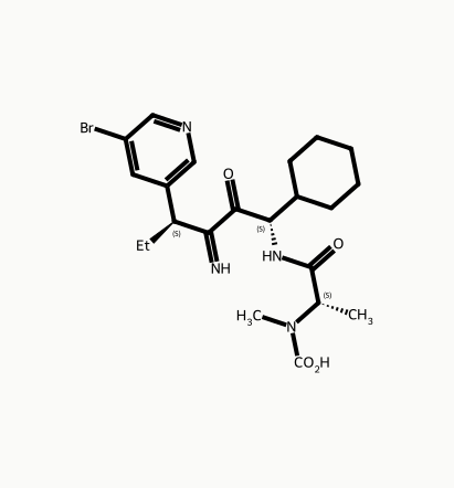 CC[C@H](C(=N)C(=O)[C@@H](NC(=O)[C@H](C)N(C)C(=O)O)C1CCCCC1)c1cncc(Br)c1